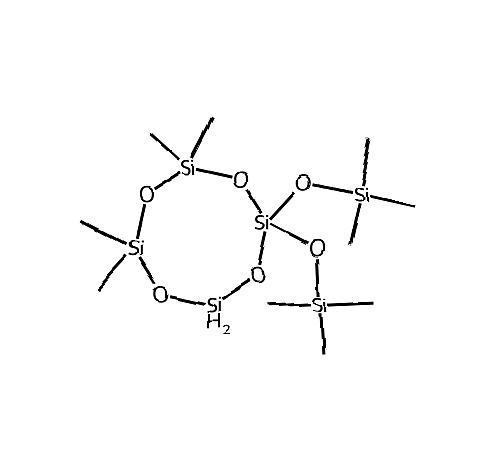 C[Si](C)(C)O[Si]1(O[Si](C)(C)C)O[SiH2]O[Si](C)(C)O[Si](C)(C)O1